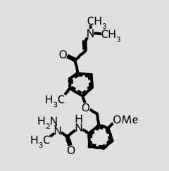 COc1cccc(NC(=O)N(C)N)c1COc1ccc(C(=O)/C=C/N(C)C)cc1C